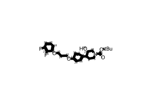 CC(C)(C)OC(=O)N1CCC(c2ccc(OCCCOc3cccc(F)c3F)cc2)C(O)C1